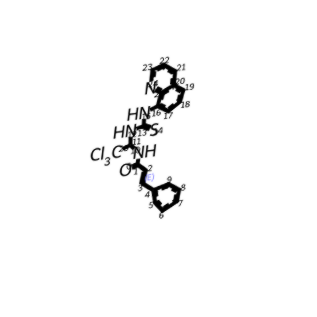 O=C(/C=C/c1ccccc1)NC(NC(=S)Nc1cccc2cccnc12)C(Cl)(Cl)Cl